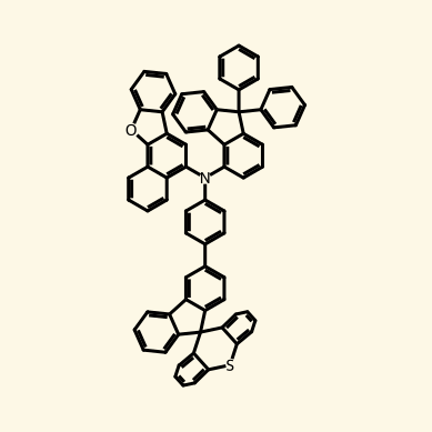 c1ccc(C2(c3ccccc3)c3ccccc3-c3c(N(c4ccc(-c5ccc6c(c5)-c5ccccc5C65c6ccccc6Sc6ccccc65)cc4)c4cc5c6ccccc6oc5c5ccccc45)cccc32)cc1